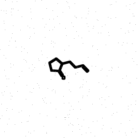 C=CCCC1CCCC1=O